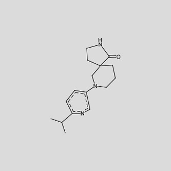 CC(C)c1ccc(N2CCCC3(CCNC3=O)C2)cn1